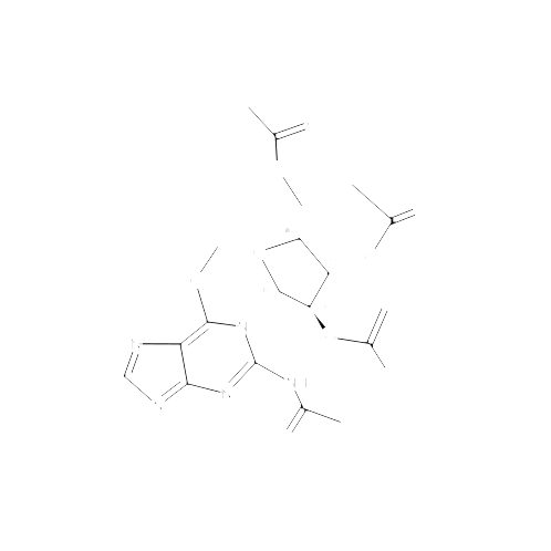 COc1c2ncnc-2nc(NC(C)=O)n1[C@@H]1O[C@H](COC(C)=O)[C@H](OC(C)=O)[C@H]1OC(C)=O